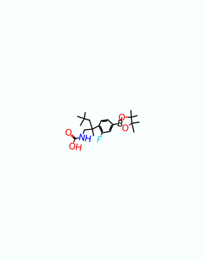 CC(C)(C)CC(C)(CNC(=O)O)c1ccc(B2OC(C)(C)C(C)(C)O2)cc1F